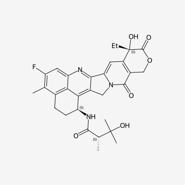 CC[C@@]1(O)C(=O)OCc2c1cc1n(c2=O)Cc2c-1nc1cc(F)c(C)c3c1c2[C@@H](NC(=O)[C@@H](C)C(C)(C)O)CC3